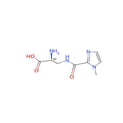 Cn1ccnc1C(=O)NC[C@H](N)C(=O)O